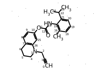 C#CCN1CCCc2ccc(OC(=O)Nc3c(C)cccc3C(C)C)cc21